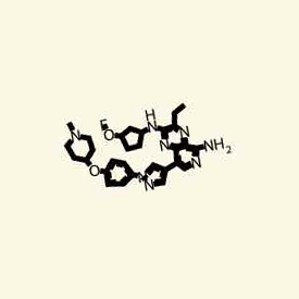 CCc1nc2c(N)ncc(-c3cnn(-c4ccc(OC5CCN(C)CC5)cc4)c3)c2nc1NC1CCC(OF)C1